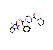 O=C(C1CCCCC1)N1CCN(C(=O)C(c2ccccc2)n2c(=O)[nH]c3ccccc3c2=O)CC1